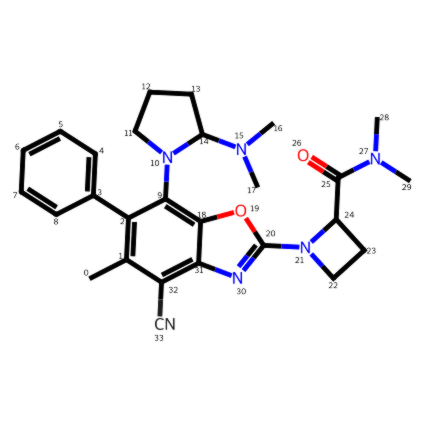 Cc1c(-c2ccccc2)c(N2CCCC2N(C)C)c2oc(N3CCC3C(=O)N(C)C)nc2c1C#N